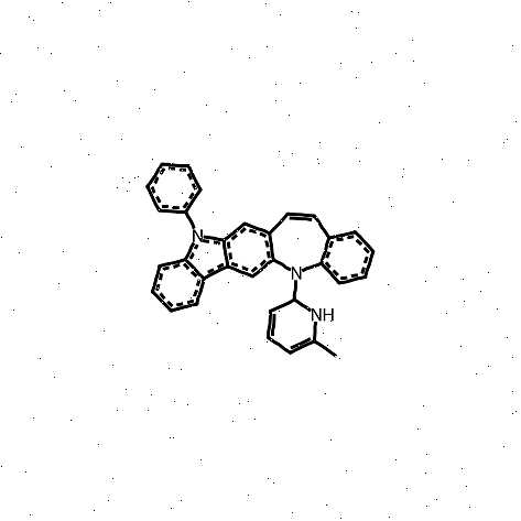 CC1=CC=CC(N2c3ccccc3C=Cc3cc4c(cc32)c2ccccc2n4-c2ccccc2)N1